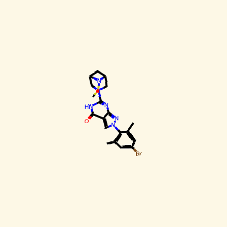 CSN1C2CC1CN(c1nc3nn(-c4c(C)cc(Br)cc4C)cc3c(=O)[nH]1)C2